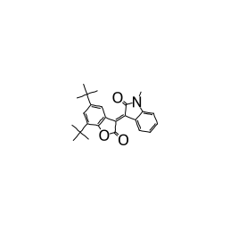 CN1C(=O)C(=C2C(=O)Oc3c2cc(C(C)(C)C)cc3C(C)(C)C)c2ccccc21